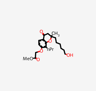 CCCc1c(OCC(=O)OC)ccc2c1OC(C)(CCCCCCO)CC2=O